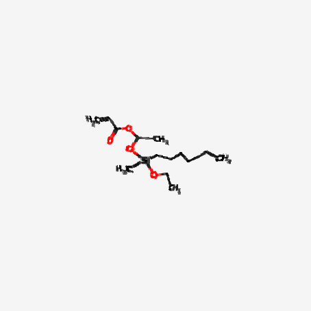 C=CC(=O)OC(C)O[Si](C)(CCCCCC)OCC